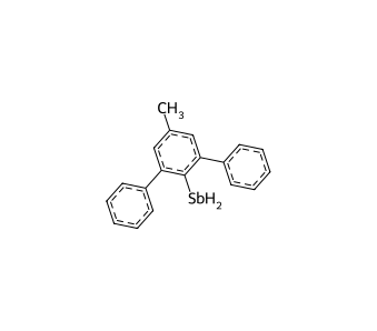 Cc1cc(-c2ccccc2)[c]([SbH2])c(-c2ccccc2)c1